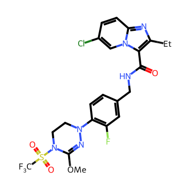 CCc1nc2ccc(Cl)cn2c1C(=O)NCc1ccc(N2CCN(S(=O)(=O)C(F)(F)F)C(OC)=N2)c(F)c1